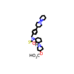 O=C(O)OC1CCN(C2CCCC3[C@@H]2OC(=S)N3Cc2ccc(C3CCN(N4CCCCC4)CC3)cc2)CC1